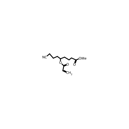 C=CC(=O)OC(CCCC#N)CCCC(=O)OC